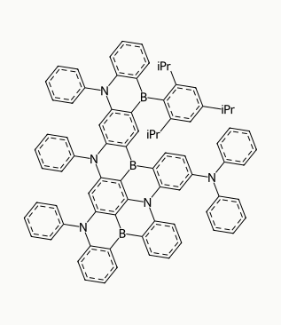 CC(C)c1cc(C(C)C)c(B2c3ccccc3N(c3ccccc3)c3cc4c(cc32)B2c3ccc(N(c5ccccc5)c5ccccc5)cc3N3c5ccccc5B5c6ccccc6N(c6ccccc6)c6cc(c2c3c65)N4c2ccccc2)c(C(C)C)c1